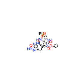 Cc1cc2cc(C)c1CN(C(=O)OCc1ccccc1)CC(=O)Nc1ccc(S(=O)(=O)C(C)C)c(c1)CNC(=O)C2Nc1ccc2nc[nH]c(=O)c2c1